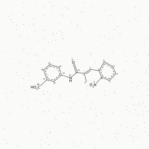 CC(=Cc1ccccc1[N+](=O)[O-])C(=O)Nc1cccc(C(=O)O)c1